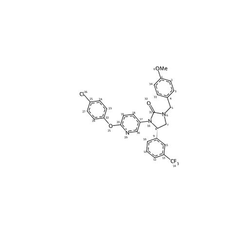 COc1ccc(CN2C[C@H](c3cccc(C(F)(F)F)c3)N(c3ccc(Oc4ccc(Cl)cc4)nc3)C2=O)cc1